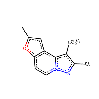 CCc1nn2ccc3oc(C)cc3c2c1C(=O)O